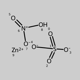 O=S(=O)([O-])[O-].O=[N+]([O-])O.[Zn+2]